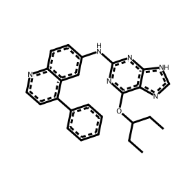 CCC(CC)Oc1nc(Nc2ccc3nccc(-c4ccccc4)c3c2)nc2[nH]cnc12